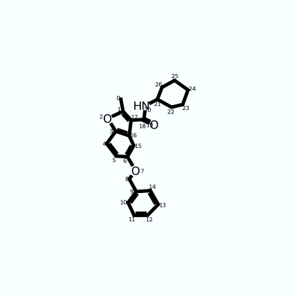 Cc1oc2ccc(OCc3ccccc3)cc2c1C(=O)NC1CCCCC1